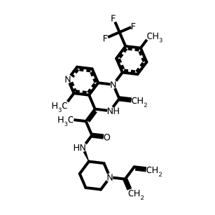 C=CC(=C)N1CCC[C@@H](NC(=O)/C(C)=C2\NC(=C)N(c3ccc(C)c(C(F)(F)F)c3)c3ccnc(C)c32)C1